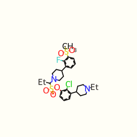 CCC(N1CCC(c2cccc(S(C)(=O)=O)c2F)CC1)S(=O)(=O)Oc1cccc(C2CCN(CC)CC2)c1Cl